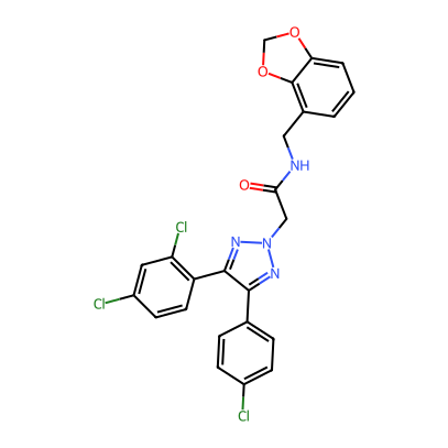 O=C(Cn1nc(-c2ccc(Cl)cc2)c(-c2ccc(Cl)cc2Cl)n1)NCc1cccc2c1OCO2